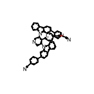 N#Cc1ccc(-c2ccc3c4ccccc4n(-c4cncc(-n5c6ccccc6c6ccc(-c7ccc(C#N)cc7)cc65)c4-c4ccc(C#N)cc4)c3c2)cc1